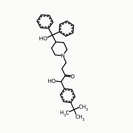 CC(C)(C)c1ccc(C(O)C(=O)CCN2CCC(C(O)(c3ccccc3)c3ccccc3)CC2)cc1